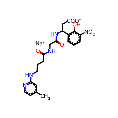 Cc1ccnc(NCCCC(=O)NCC(=O)NC(CC(=O)[O-])c2cccc([N+](=O)[O-])c2O)c1.[Na+]